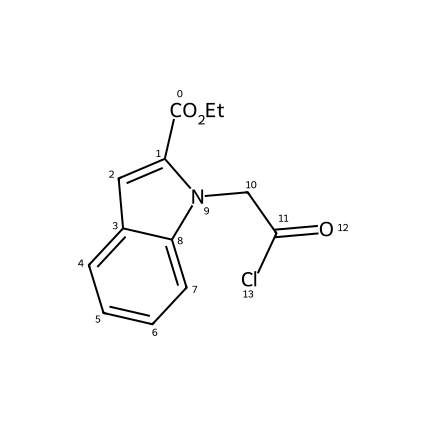 CCOC(=O)c1cc2ccccc2n1CC(=O)Cl